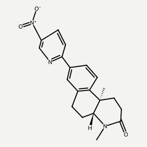 CN1C(=O)CC[C@]2(C)c3ccc(-c4ccc([N+](=O)[O-])cn4)cc3CC[C@@H]12